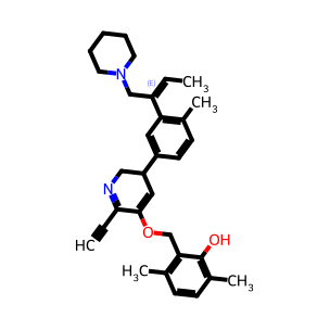 C#CC1=NCC(c2ccc(C)c(/C(=C\C)CN3CCCCC3)c2)C=C1OCc1c(C)ccc(C)c1O